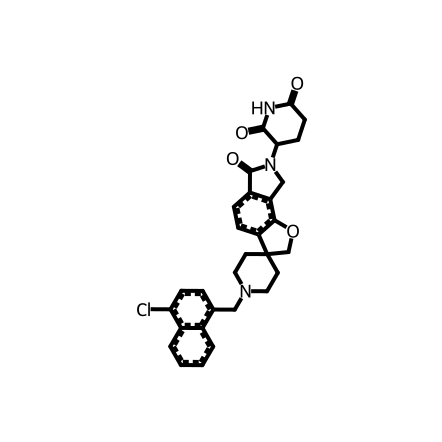 O=C1CCC(N2Cc3c(ccc4c3OCC43CCN(Cc4ccc(Cl)c5ccccc45)CC3)C2=O)C(=O)N1